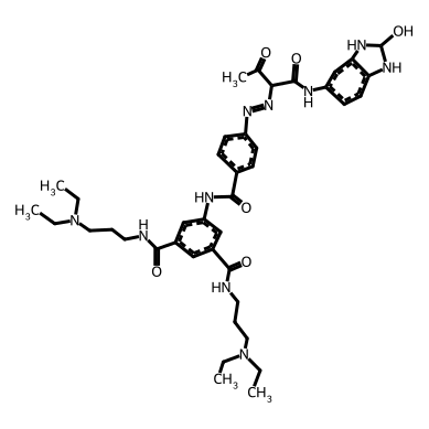 CCN(CC)CCCNC(=O)c1cc(NC(=O)c2ccc(/N=N/C(C(C)=O)C(=O)Nc3ccc4c(c3)NC(O)N4)cc2)cc(C(=O)NCCCN(CC)CC)c1